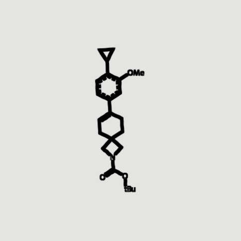 COc1cc(C2=CCC3(CC2)CN(C(=O)OC(C)(C)C)C3)ccc1C1CC1